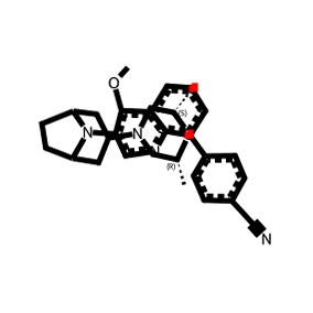 COc1c(N2C3CCC2CC(N2C[C@@H](C)O[C@@H](C)C2)C3)cnc2c(-c3ccc(C#N)cc3)cccc12